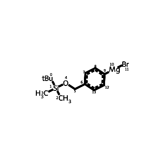 CC(C)(C)[Si](C)(C)OCc1cc[c]([Mg][Br])cc1